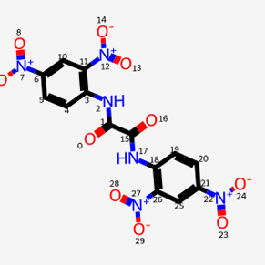 O=C(Nc1ccc([N+](=O)[O-])cc1[N+](=O)[O-])C(=O)Nc1ccc([N+](=O)[O-])cc1[N+](=O)[O-]